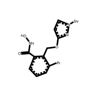 CC(C)c1cccc(C(=O)NO)c1COc1ccn(S)n1